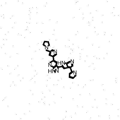 c1ccc(-c2cncc3[nH]c(-c4n[nH]c5ncc(-c6cncc(CN7CCCC7)c6)cc45)cc23)nc1